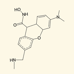 CNCc1ccc2c(c1)OC1C=C(N(C)C)C=CC1C2C(=O)NO